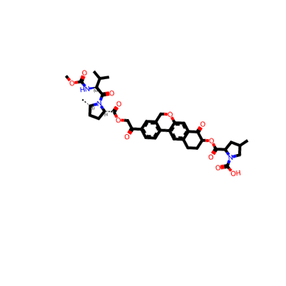 COC(=O)N[C@H](C(=O)N1[C@@H](C)CC[C@H]1C(=O)OCC(=O)c1ccc2c(c1)COc1cc3c(cc1-2)CCC(OC(=O)C1CC(C)CN1C(=O)O)C3=O)C(C)C